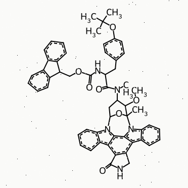 COC1C(N(C)C(=O)C(Cc2ccc(OC(C)(C)C)cc2)NC(=O)OCC2c3ccccc3-c3ccccc32)CC2OC1(C)n1c3ccccc3c3c4c(c5c6ccccc6n2c5c31)C(=O)NC4